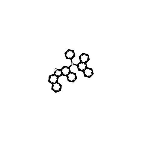 c1ccc(N(c2cc3ccccc3c3ccccc23)c2cc3oc4ccc5ccccc5c4c3c3ccccc23)cc1